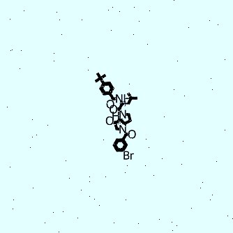 CC(C)C[C@H](NC(=O)c1ccc(C(C)(C)C)cc1)C(=O)N1CCC2[C@H]1C(=O)CN2C(=O)c1cccc(Br)c1